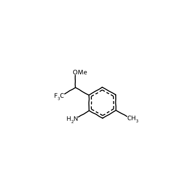 COC(c1ccc(C)cc1N)C(F)(F)F